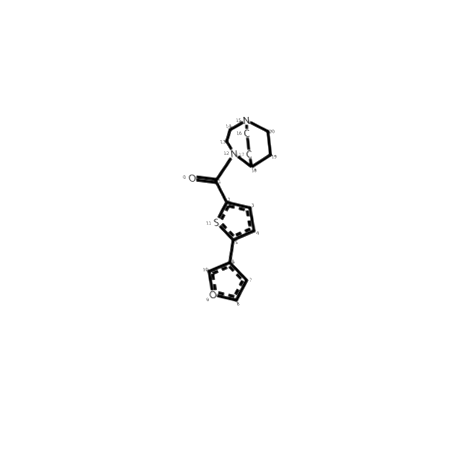 O=C(c1ccc(-c2ccoc2)s1)N1CCN2CCC1CC2